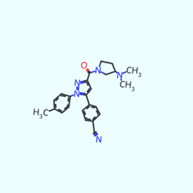 Cc1ccc(-n2nc(C(=O)N3CC[C@@H](N(C)C)C3)cc2-c2ccc(C#N)cc2)cc1